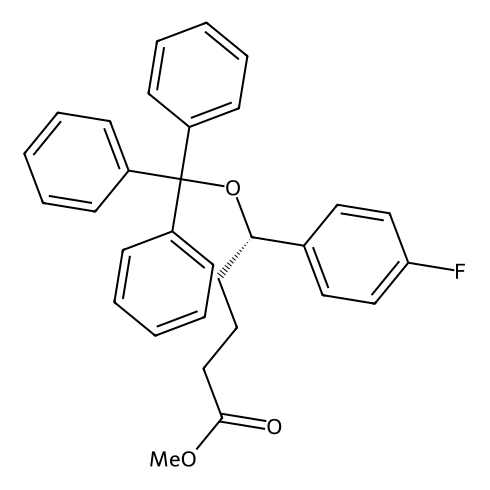 COC(=O)CCC[C@H](OC(c1ccccc1)(c1ccccc1)c1ccccc1)c1ccc(F)cc1